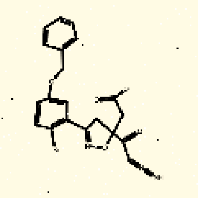 N=[N+]=CC(=O)C1(CC(=O)[O-])CC(c2cc(OCc3ccccc3)ccc2Br)=NO1